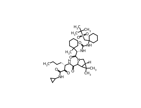 CCCC[C@H](NC(=O)C1C2[C@H](CN1C(=O)[C@@H](NC(=O)NC1(CS(=O)(=O)C(C)(C)C)CCCCC1)C1(C)CCCCC1)C2(C)C)C(=O)C(=O)NC1CC1